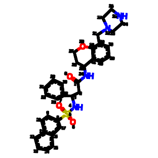 O=C(CC(NS(=O)(=O)c1ccc2ccccc2c1)c1ccccc1)NC1CCOc2c(CN3CCNCC3)cccc21